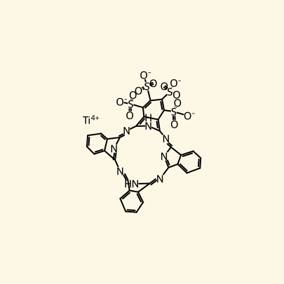 O=S(=O)([O-])c1c(S(=O)(=O)[O-])c(S(=O)(=O)[O-])c2c3nc4nc(nc5[nH]c(nc6nc(nc([nH]3)c2c1S(=O)(=O)[O-])-c1ccccc1-6)c1ccccc51)-c1ccccc1-4.[Ti+4]